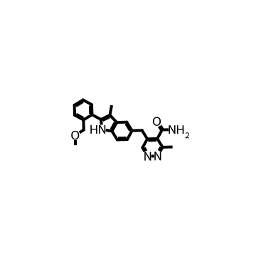 COCc1ccccc1-c1[nH]c2ccc(Cc3cnnc(C)c3C(N)=O)cc2c1C